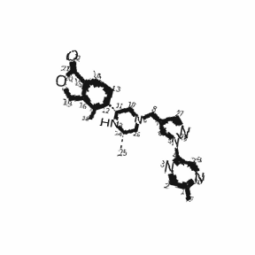 Cc1cnc(-n2cc(CN3C[C@@H](c4ccc5c(c4C)COC5=O)N[C@@H](C)C3)cn2)cn1